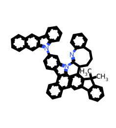 CC1(C)c2ccccc2-c2cccc(C3CCCc4ccccc4/N=C\3n3c4cc(-n5c6ccccc6c6cc7ccccc7cc65)ccc4c4c5ccccc5ccc43)c21